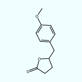 COc1ccc(CC2CCC(=O)O2)cc1